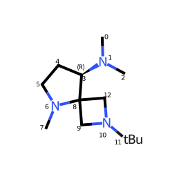 CN(C)[C@@H]1CCN(C)C12CN(C(C)(C)C)C2